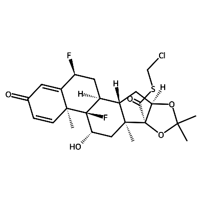 CC1(C)O[C@@H]2C[C@H]3[C@@H]4C[C@H](F)C5=CC(=O)C=C[C@]5(C)[C@@]4(F)[C@@H](O)C[C@]3(C)[C@]2(C(=O)SCCl)O1